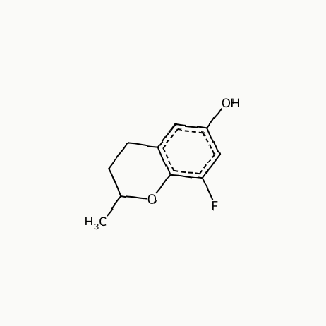 CC1CCc2cc(O)cc(F)c2O1